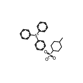 CC1CCC(S(=O)(=O)[O-])CC1.c1ccc([S+](c2ccccc2)c2ccccc2)cc1